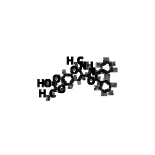 CNC(=O)/C(=C\c1cccc(OC(C)C(=O)O)c1)c1nc(-c2ccccc2)c(-c2ccccc2)o1